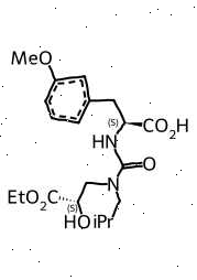 CCOC(=O)[C@@H](O)CN(CC(C)C)C(=O)N[C@@H](Cc1cccc(OC)c1)C(=O)O